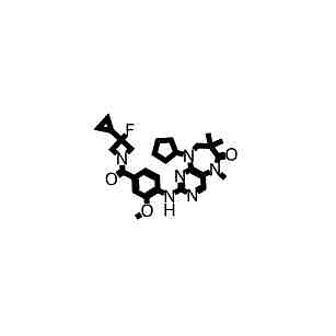 COc1cc(C(=O)N2CC(F)(C3CC3)C2)ccc1Nc1ncc2c(n1)N(C1CCCC1)CC(C)(C)C(=O)N2C